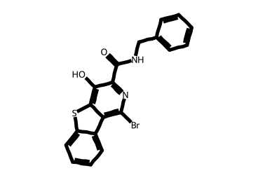 O=C(NCc1ccccc1)c1nc(Br)c2c(sc3ccccc32)c1O